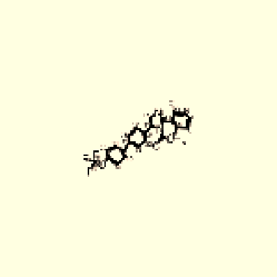 CC(=O)N1C(c2c(F)cccc2F)=NCC1c1ccc(-c2ccc(OC(F)(F)F)cc2)cc1